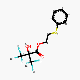 O=C(OCCSc1ccccc1)C(O)(C(F)(F)F)C(F)(F)F